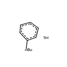 CCCCc1ccccc1.[Sn]